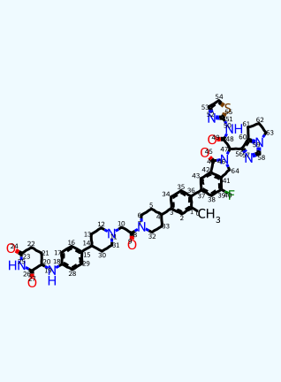 Cc1cc(C2CCN(C(=O)CN3CCC(c4ccc(NC5CCC(=O)NC5=O)cc4)CC3)CC2)ccc1-c1cc(F)c2c(c1)C(=O)N(C(C(=O)Nc1nccs1)c1ncn3c1CCC3)C2